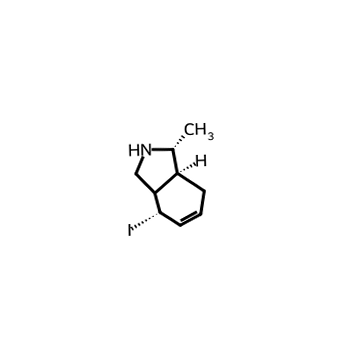 C[C@H]1NCC2[C@@H](I)C=CC[C@@H]21